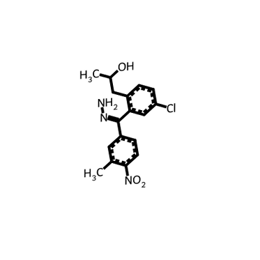 Cc1cc(C(=NN)c2cc(Cl)ccc2CC(C)O)ccc1[N+](=O)[O-]